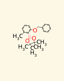 Cc1cccc(OCc2ccccc2)c1B1OC(C)(C)C(C)(C)O1